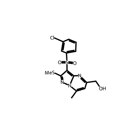 CSc1nn2c(C)cc(CO)nc2c1S(=O)(=O)c1cccc(Cl)c1